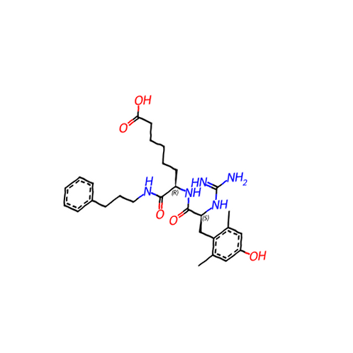 Cc1cc(O)cc(C)c1C[C@H](NC(=N)N)C(=O)N[C@H](CCCCCC(=O)O)C(=O)NCCCc1ccccc1